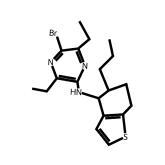 CCCC1CCc2sccc2C1Nc1nc(CC)c(Br)nc1CC